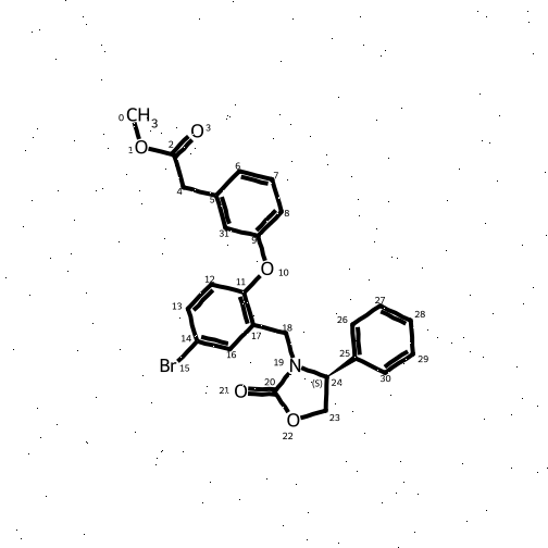 COC(=O)Cc1cccc(Oc2ccc(Br)cc2CN2C(=O)OC[C@@H]2c2ccccc2)c1